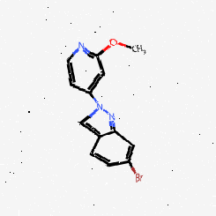 COc1cc(-n2cc3ccc(Br)cc3n2)ccn1